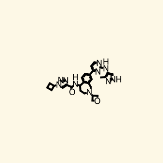 Cc1n[nH]cc1Nc1nccc(-c2ccc3c(c2)CN(C2COC2)CCC3NC(=O)c2cn(C3CCC3)nn2)n1